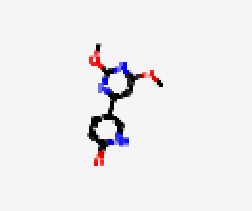 COc1cc(-c2ccc(=O)[nH]c2)nc(OC)n1